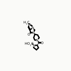 CN1C=C2C(=O)N(C3CCN(C(=O)[C@H]4CCCN4C(=O)O)CC3)CN2C1